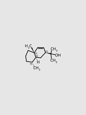 C[C@@H]1CCC[C@]2(C)C=C[C@@H](C(C)(C)O)C[C@@H]12